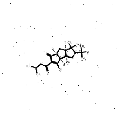 CC(C)CC(=O)C1=C(O)[C@@]2(O)[C@H](C[C@H]3C(C)(C)[C@@H](C(C)(C)O)C[C@]32O)C1=O